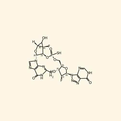 Nc1nc2c(ncn2[C@@H]2O[C@@H]3C(O)[C@]3(F)[C@H]2OP(=O)(S)OC[C@H]2O[C@@H](n3nnc4c(=O)[nH]cnc43)[C@@H](F)[C@@H]2O)c(=O)[nH]1